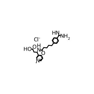 C[n+]1cccc(C(CC(=O)O)NC(=O)CCCCc2ccc(C(=N)N)cc2)c1.[Cl-]